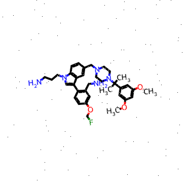 COc1cc(OC)cc(C(C)(C)N2CCN(Cc3ccc4c(c3)c(-c3ccc(OCF)cc3CN)cn4CCCN)CC2)c1